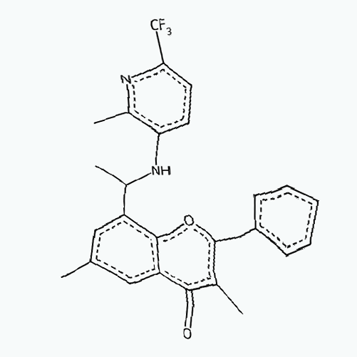 Cc1cc(C(C)Nc2ccc(C(F)(F)F)nc2C)c2oc(-c3ccccc3)c(C)c(=O)c2c1